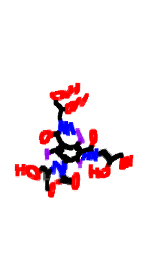 O=C(NCC(O)CO)c1c(I)c(C(=O)NCC(O)CO)c(I)c(N2C(=O)OC[C@H]2CO)c1I